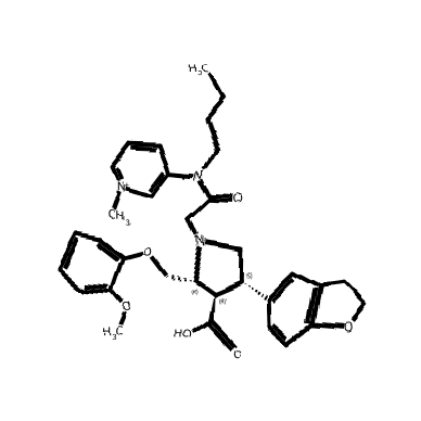 CCCCN(C(=O)CN1C[C@H](c2ccc3c(c2)CCO3)[C@@H](C(=O)O)[C@@H]1COc1ccccc1OC)c1ccc[n+](C)c1